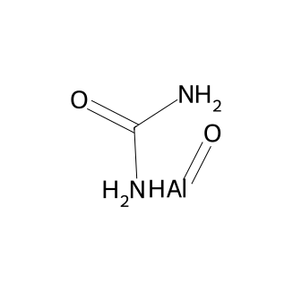 NC(N)=O.[O]=[AlH]